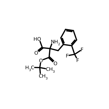 CC(C)(C)OC(=O)C(N)(Cc1ccccc1C(F)(F)F)C(=O)O